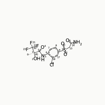 C[C@@](O)(C(=O)Nc1ccc(S(=O)(=O)CC(N)=O)cc1Cl)C(F)(F)F